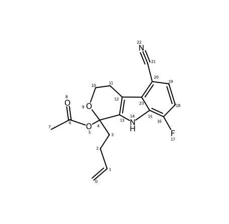 C=CCCC1(OC(C)=O)OCCc2c1[nH]c1c(F)ccc(C#N)c21